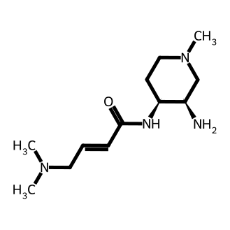 CN(C)C/C=C/C(=O)N[C@H]1CCN(C)C[C@H]1N